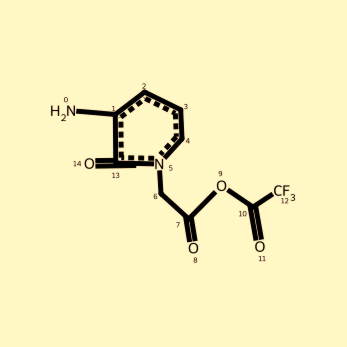 Nc1cccn(CC(=O)OC(=O)C(F)(F)F)c1=O